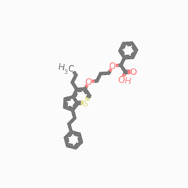 CCCc1c(OCCCOC(C(=O)O)c2ccccc2)csc2c(CCc3ccccc3)ccc1-2